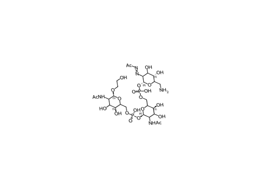 CC(=O)N=NC1C(O)[C@H](O)C(CN)O[C@@H]1OP(=O)(O)OCC1O[C@H](OP(=O)(O)OCC2O[C@H](OCCO)C(NC(C)=O)C(O)[C@@H]2O)C(NC(C)=O)C(O)[C@@H]1O